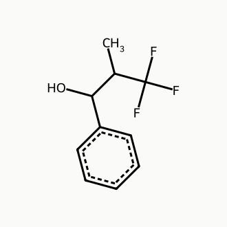 CC(C(O)c1ccccc1)C(F)(F)F